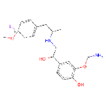 CO[C@@]1(I)C=CC(CC(C)NCC(O)c2ccc(O)c(OCN)c2)=CC1